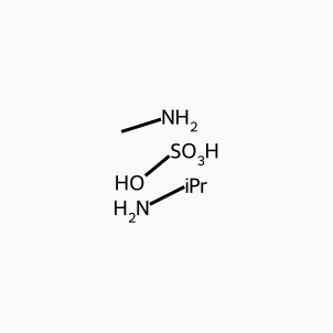 CC(C)N.CN.O=S(=O)(O)O